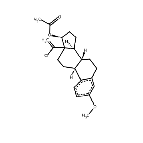 C=C(Cl)C12CC[C@@H]3c4ccc(OC)cc4CC[C@H]3[C@@H]1CC[C@@H]2OC(C)=O